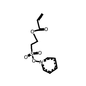 C=CC(=O)OCCS(=O)(=O)O[n+]1ccccc1